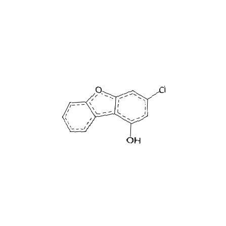 Oc1cc(Cl)cc2oc3ccccc3c12